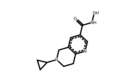 O=C(NO)c1cnc2c(c1)CN(C1CC1)CC2